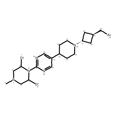 CCC1CN(C)CC(CC)N1c1ncc(C2CCN([C@H]3C[C@H](CC(C)=O)C3)CC2)cn1